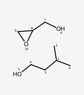 CC(C)CCO.OCC1CO1